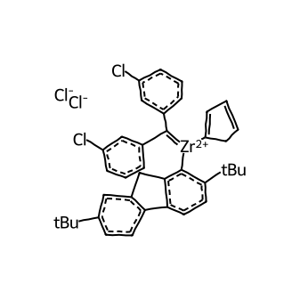 CC(C)(C)c1ccc2c(c1)Cc1c-2ccc(C(C)(C)C)[c]1[Zr+2]([C]1=CC=CC1)=[C](c1cccc(Cl)c1)c1cccc(Cl)c1.[Cl-].[Cl-]